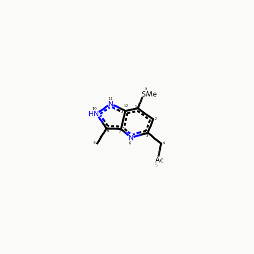 CSc1cc(CC(C)=O)nc2c(C)[nH]nc12